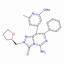 COc1cc(-c2c(-c3ccccc3)nc(N)n3c(=O)n(C[C@H]4CCCO4)nc23)cc(C)n1